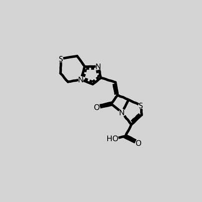 O=C(O)C1=CSC2C(=Cc3cn4c(n3)CSCC4)C(=O)N12